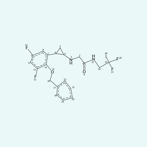 O=C(CNC1CC1c1cc(F)cc(F)c1OCc1ccccc1)NCC(F)(F)I